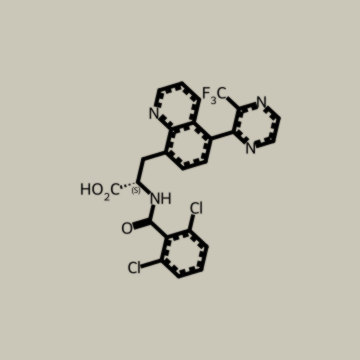 O=C(N[C@@H](Cc1ccc(-c2nccnc2C(F)(F)F)c2cccnc12)C(=O)O)c1c(Cl)cccc1Cl